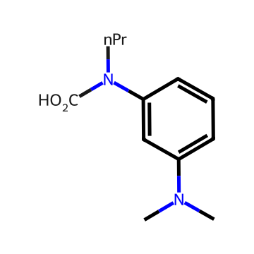 CCCN(C(=O)O)c1cccc(N(C)C)c1